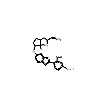 C=CC(=O)OC1CCC(Oc2ccc3cc(-c4ccc(CCCCC)cc4OC)sc3c2)C1(C)C(F)(F)F